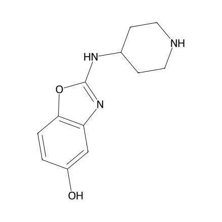 Oc1ccc2oc(NC3CCNCC3)nc2c1